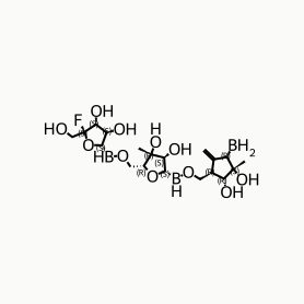 B[C@@H]1C(=C)[C@H](COB[C@@H]2O[C@H](COB[C@@H]3O[C@](F)(CO)[C@@H](O)[C@H]3O)[C@](C)(O)[C@H]2O)[C@@H](O)[C@@]1(C)O